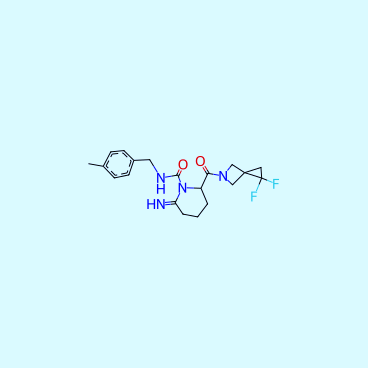 Cc1ccc(CNC(=O)N2C(=N)CCCC2C(=O)N2CC3(C2)CC3(F)F)cc1